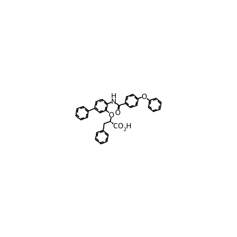 O=C(Nc1ccc(-c2ccccc2)cc1O[C@H](Cc1ccccc1)C(=O)O)c1ccc(Oc2ccccc2)cc1